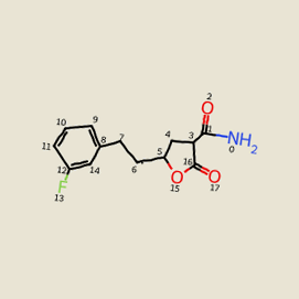 NC(=O)C1CC([CH]Cc2cccc(F)c2)OC1=O